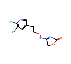 O=C1N=C(NOCCc2cnc(Cl)c(Cl)c2)CO1